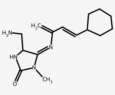 C=C(/C=C/C1CCCCC1)/N=C1\C(CN)NC(=O)N1C